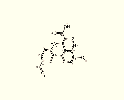 COc1cccc2c(Nc3ccc(C=O)cc3)c(C(=O)O)cnc12